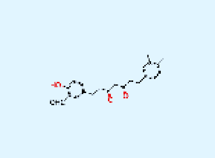 Cc1ccc(CCC(=O)CC(=O)CCc2ccc(O)c(C=O)c2)cc1C